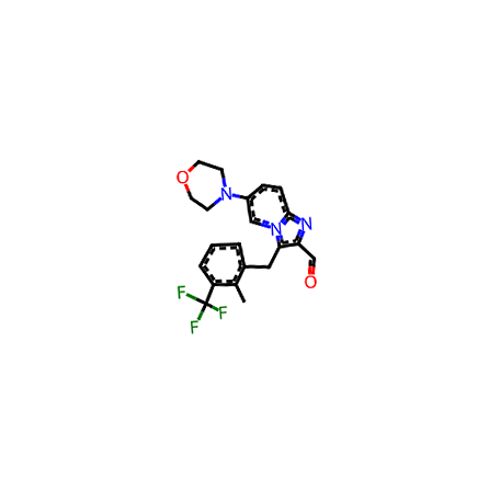 Cc1c(Cc2c(C=O)nc3ccc(N4CCOCC4)cn23)cccc1C(F)(F)F